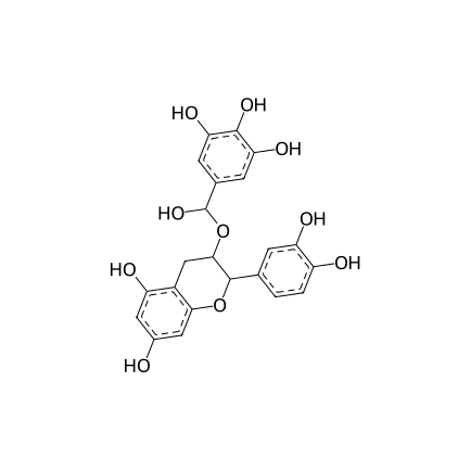 Oc1cc(O)c2c(c1)OC(c1ccc(O)c(O)c1)C(OC(O)c1cc(O)c(O)c(O)c1)C2